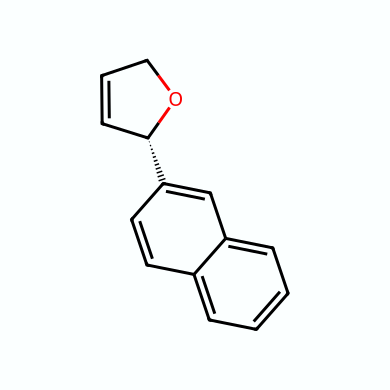 C1=C[C@@H](c2ccc3ccccc3c2)OC1